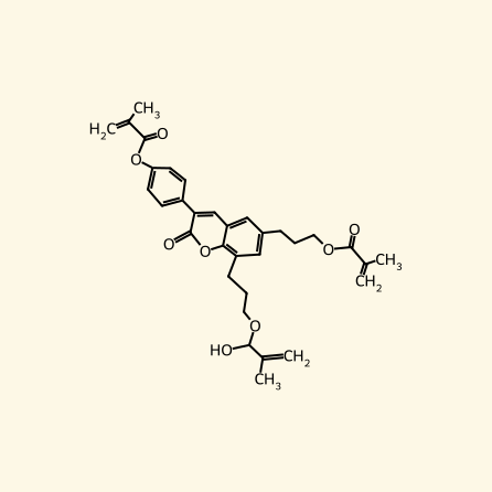 C=C(C)C(=O)OCCCc1cc(CCCOC(O)C(=C)C)c2oc(=O)c(-c3ccc(OC(=O)C(=C)C)cc3)cc2c1